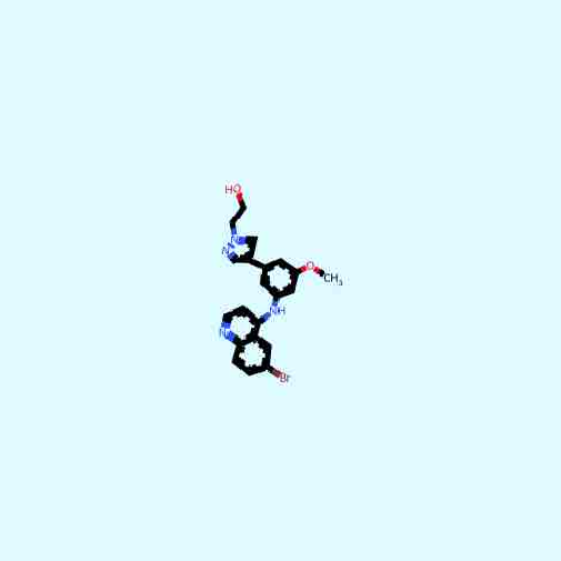 COc1cc(Nc2ccnc3ccc(Br)cc23)cc(-c2cnn(CCO)c2)c1